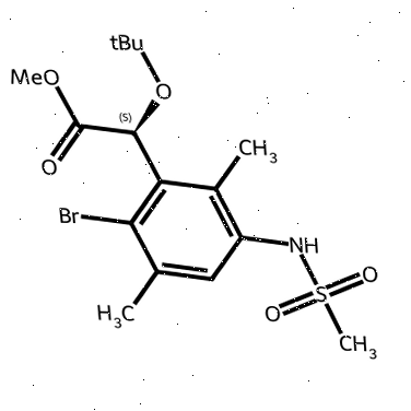 COC(=O)[C@@H](OC(C)(C)C)c1c(C)c(NS(C)(=O)=O)cc(C)c1Br